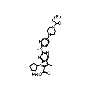 COC(=O)c1c(C)c2cnc(Nc3ccc(N4CCN(C(=O)OC(C)(C)C)CC4)cn3)nc2n1C1CCCC1